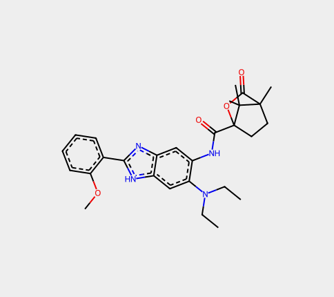 CCN(CC)c1cc2[nH]c(-c3ccccc3OC)nc2cc1NC(=O)C12CCC(C)(C(=O)O1)C2(C)C